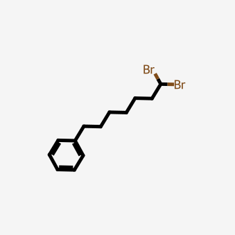 BrC(Br)CCCCCCc1ccccc1